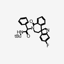 CC(C)(C)NC(=O)C(c1ccccc1)N1CCC2(C=Nc3cc(F)ccc32)c2ccccc2C1=O